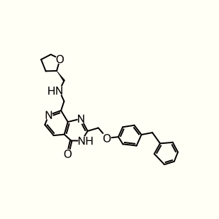 O=c1[nH]c(COc2ccc(Cc3ccccc3)cc2)nc2c(CNC[C@H]3CCCO3)nccc12